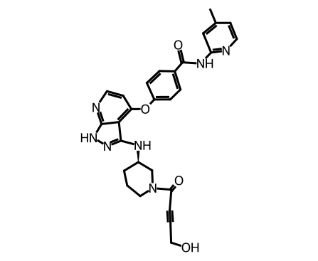 Cc1ccnc(NC(=O)c2ccc(Oc3ccnc4[nH]nc(N[C@@H]5CCCN(C(=O)C#CCO)C5)c34)cc2)c1